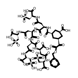 O=C(C[C@@H](NC(=O)[C@@H](CC(=O)N[C@H](CS(=O)(=O)O)C(=O)O)NC(=O)[C@@H](CC(=O)N[C@H](CS(=O)(=O)O)C(=O)O)NC(=O)[C@@H](CC(=O)N[C@H](CS(=O)(=O)O)C(=O)O)NC(=O)[C@H]1C[C@@H](C(=O)O)C[C@@H](C(=O)C(=O)OCc2ccccc2)C1)C(=O)O)N[C@H](CS(=O)(=O)O)C(=O)O